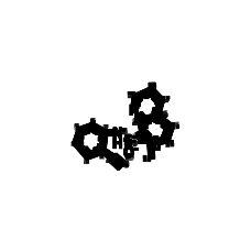 C#Cc1ccccc1N[S+]([O-])c1c(C)ccc2cccnc12